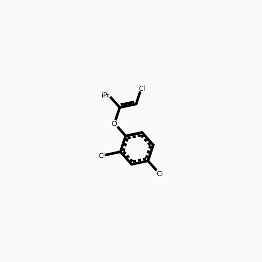 CC(C)C(=CCl)Oc1ccc(Cl)cc1Cl